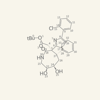 CC(C)(C)OC(=O)C[C@@]1(c2nc(-c3ccccc3Cl)cs2)C(=O)NC[C@H](O)[C@H](O)C[C@H]1c1ccccc1